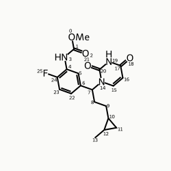 COC(=O)Nc1cc(C(CCC2CC2C)n2ccc(=O)[nH]c2=O)ccc1F